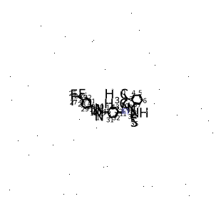 CC(C)c1ccccc1N(/N=C/c1ccc(-c2ncn(-c3ccc(C(F)(F)F)cc3)n2)cc1)NC=S